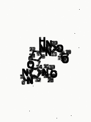 c1cnc2c(O[C@H]3CC[C@@H](Nc4ncc(OC5COC5)cn4)CC3)cc(N3CCOCC3)cc2n1